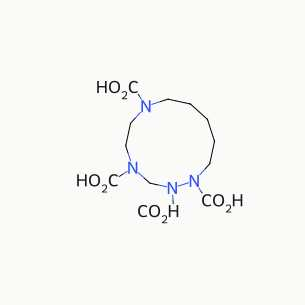 O=C(O)N1CCCCCN(C(=O)O)N(C(=O)O)CN(C(=O)O)CC1